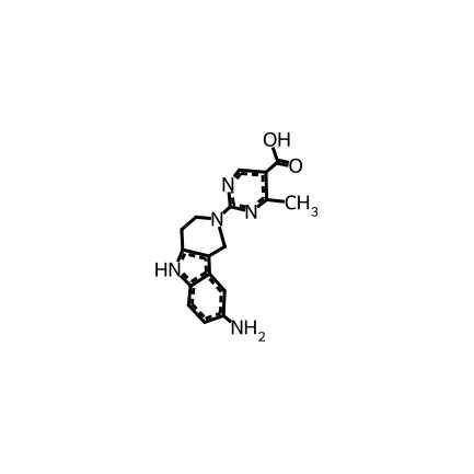 Cc1nc(N2CCc3[nH]c4ccc(N)cc4c3C2)ncc1C(=O)O